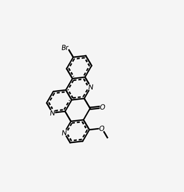 COc1ccnc2c1C(=O)c1nc3ccc(Br)cc3c3ccnc-2c13